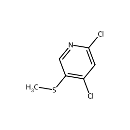 CSc1cnc(Cl)cc1Cl